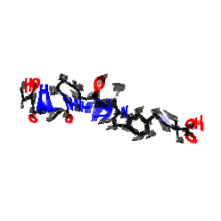 CCC(O)C(=O)NC(C)C(=O)N1CCCC(C(=O)N[C@H](C)c2ccc3ccc(/C=C/C(C)(C)C(=O)O)cc3n2)N1